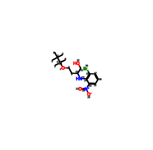 CC(C)(C)[Si](C)(C)OCCC(CO)Nc1c(Br)cccc1[N+](=O)[O-]